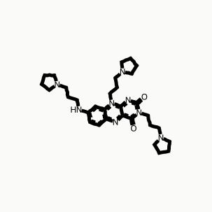 O=c1nc2n(CCCN3CCCC3)c3cc(NCCCN4CCCC4)ccc3nc-2c(=O)n1CCCN1CCCC1